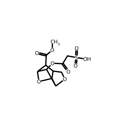 COC(=O)C1C2COC3C2OC1C3OC(=O)CS(=O)(=O)O